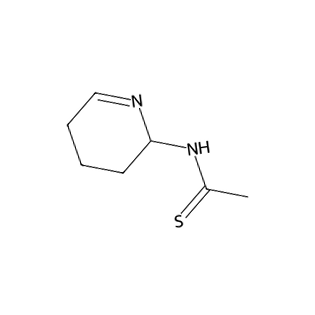 CC(=S)NC1CCCC=N1